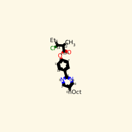 CCCCCCCCc1cnc(-c2ccc(OC(=O)C(C)C(Cl)CC)cc2)nc1